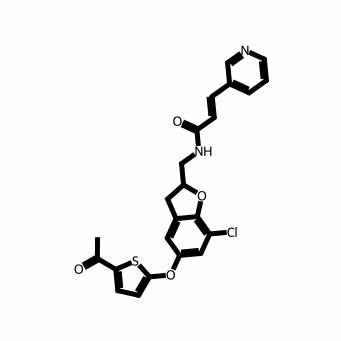 CC(=O)c1ccc(Oc2cc(Cl)c3c(c2)CC(CNC(=O)/C=C/c2cccnc2)O3)s1